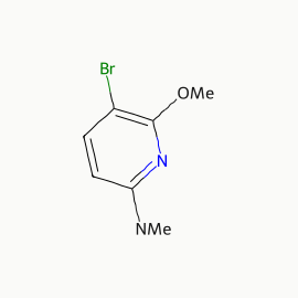 CNc1ccc(Br)c(OC)n1